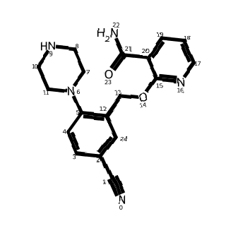 N#Cc1ccc(N2CCNCC2)c(COc2ncccc2C(N)=O)c1